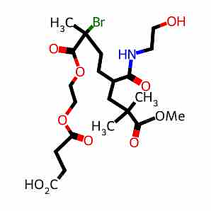 COC(=O)C(C)(C)CC(CCC(C)(Br)C(=O)OCCOC(=O)CCC(=O)O)C(=O)NCCO